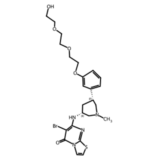 CN1C[C@H](Nc2nc3sccn3c(=O)c2Br)C[C@H](c2cccc(OCCOCCOCCO)c2)C1